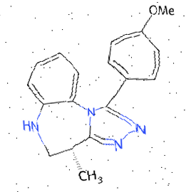 COc1ccc(-c2nnc3n2-c2ccccc2NC[C@H]3C)cc1